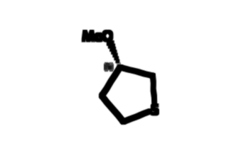 CO[C@H]1CCSC1